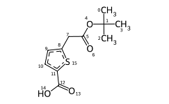 CC(C)(C)OC(=O)Cc1ccc(C(=O)O)s1